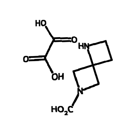 O=C(O)C(=O)O.O=C(O)N1CC2(CCN2)C1